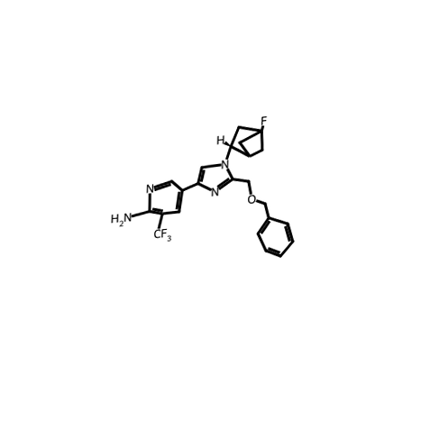 Nc1ncc(-c2cn([C@@H]3CC4(F)CC3C4)c(COCc3ccccc3)n2)cc1C(F)(F)F